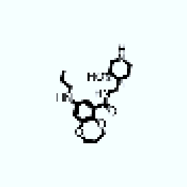 CCCNc1cc2c(c(C(=O)NC[C@@H]3CCNC[C@H]3O)c1)OCCCO2